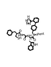 CCCCCN(Cc1ccc(-c2ccccc2-c2nnn[nH]2)cc1)C(=O)[C@H](Cc1c[nH]c2ccccc12)NC(=O)CNC(=O)C(CS)Cc1ccccc1